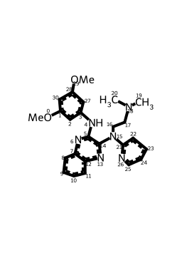 COc1cc(Nc2nc3ccccc3nc2N(CCN(C)C)c2ccccn2)cc(OC)c1